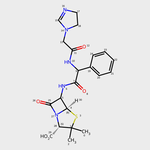 CC1(C)S[C@@H]2C(NC(=O)C(NC(=O)CN3C=NCC3)c3ccccc3)C(=O)N2[C@H]1C(=O)O